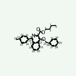 CCCCOC(=O)c1nc(-c2ccc(C)cc2)c2ccccc2c1OCc1ccccc1